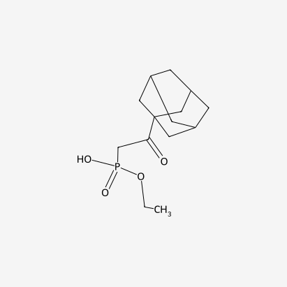 CCOP(=O)(O)CC(=O)C12CC3CC(CC(C3)C1)C2